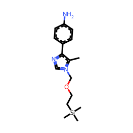 Cc1c(-c2ccc(N)cc2)ncn1COCC[Si](C)(C)C